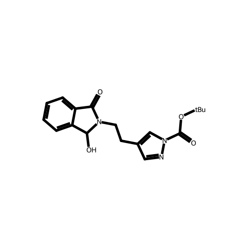 CC(C)(C)OC(=O)n1cc(CCN2C(=O)c3ccccc3C2O)cn1